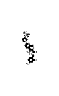 CC(C)(C)[Si](C)(C)O[C@@H]1CCN(c2ccc3c(O)c(C(=O)NCc4ccc(C#N)cc4Cl)ncc3n2)C1